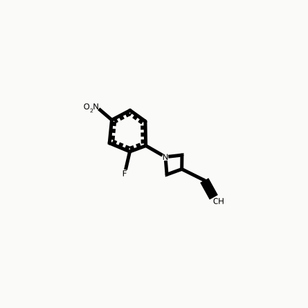 C#CC1CN(c2ccc([N+](=O)[O-])cc2F)C1